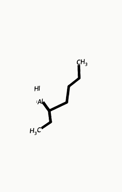 CCCC[CH]([Al])CC.I